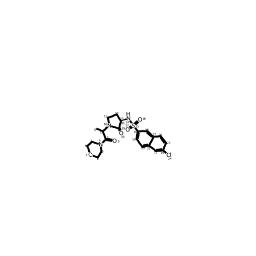 CC(C(=O)N1CCOCC1)N1CC[C@@H](NS(=O)(=O)c2ccc3cc(Cl)ccc3c2)C1=O